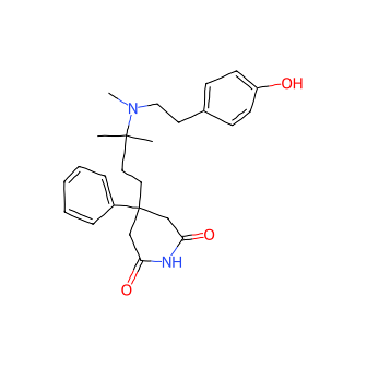 CN(CCc1ccc(O)cc1)C(C)(C)CCC1(c2ccccc2)CC(=O)NC(=O)C1